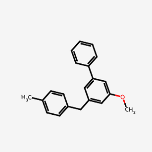 COc1cc(Cc2ccc(C)cc2)cc(-c2ccccc2)c1